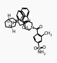 Cc1cc(S(N)(=O)=O)ccc1C(=O)N1CCC(CCN2[C@@H]3CC[C@H]2C[C@@H](n2c(C)nc4ccccc42)C3)(c2ccccc2)CC1